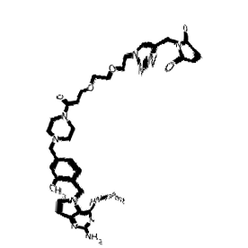 CCCCCNc1nc(N)nc2ccn(Cc3ccc(CN4CCN(C(=O)CCOCCOCCn5cc(CN6C(=O)C=CC6=O)nn5)CC4)cc3C)c12